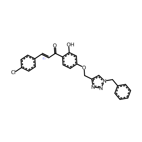 O=C(/C=C/c1ccc(Cl)cc1)c1ccc(OCc2cn(Cc3ccccc3)nn2)cc1O